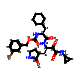 O=C(N[C@@H](CC1CCCCC1)C(=O)N[C@@H](C[C@@H]1CCNC1=O)C(=O)C(=O)NC1CC1)OCc1cccc(Br)c1